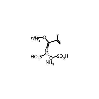 C=C(C)C(=O)OCCCC.N.N.O=S(=O)(O)OOS(=O)(=O)O